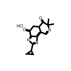 CC1(C)N=CC2=C3N=C(C4CC4)N=C3C(=O)CC2C1=O.Cl